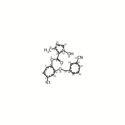 CCc1ccc(OC(=O)c2c(C)ncn2O)c(OCc2cccc(C#N)c2)c1